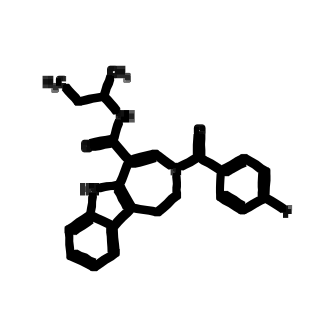 CCC(C)NC(=O)C1=CN(C(=O)c2ccc(F)cc2)CCc2c1[nH]c1ccccc21